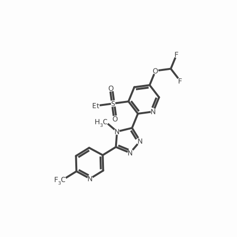 CCS(=O)(=O)c1cc(OC(F)F)cnc1-c1nnc(-c2ccc(C(F)(F)F)nc2)n1C